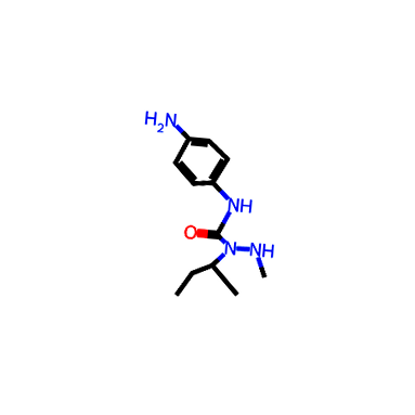 CCC(C)N(NC)C(=O)Nc1ccc(N)cc1